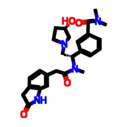 CN(C)C(=O)c1cccc([C@@H](CN2CC[C@@H](O)C2)N(C)C(=O)Cc2ccc3c(c2)NC(=O)C3)c1